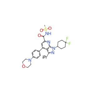 CC(C)c1nn(C2CCC(F)(F)CC2)c2nc(C(=O)NS(C)(=O)=O)cc(-c3ccc(N4CCOCC4)cc3)c12